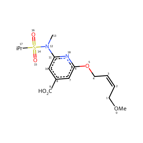 COC/C=C\COc1cc(C(=O)O)cc(N(C)S(=O)(=O)C(C)C)n1